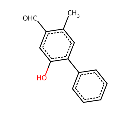 Cc1cc(-c2ccccc2)c(O)cc1[C]=O